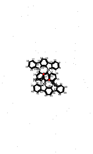 N#Cc1cc(-n2c3ccccc3c3ccc4c5ccccc5n(-c5ccccc5)c4c32)cc(C#N)c1-n1c2ccccc2c2ccc3c4ccccc4n(-c4ccccc4)c3c21